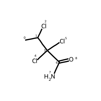 CC(Cl)C(Cl)(Cl)C(N)=O